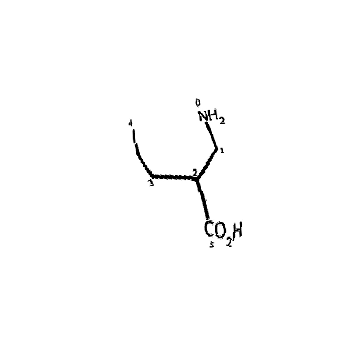 NCC(CI)C(=O)O